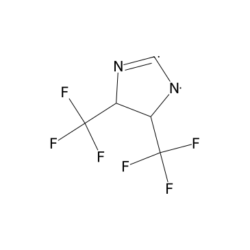 FC(F)(F)C1[N][C]=NC1C(F)(F)F